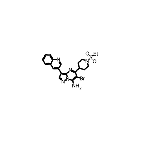 CCS(=O)(=O)N1CCC(c2nc3c(-c4cnc5ccccc5c4)cnn3c(N)c2Br)CC1